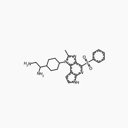 Cc1nc2c(S(=O)(=O)c3ccccc3)nc3[nH]ccc3c2n1C1CCC(C(N)CN)CC1